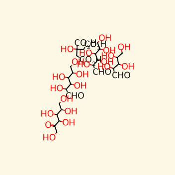 O=C(CO)C(O)C(O)C(O)CO.O=C(O)CC(O)(CC(=O)O)C(=O)O.O=CC(O)C(O)C(O)C(O)CO.O=CC(O)C(O)C(O)C(O)CO.O=CC(O)C(O)C(O)CO